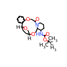 CC(C)(C)OC(=O)NC1CCCN2C(=O)COc3ccccc3[C@@H]3CC[C@@H](CO3)OCC12